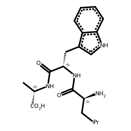 CC(C)C[C@H](N)C(=O)N[C@@H](Cc1c[nH]c2ccccc12)C(=O)N[C@@H](C)C(=O)O